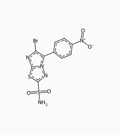 NS(=O)(=O)c1nn2c(-c3ccc([N+](=O)[O-])cc3)c(Br)nc2s1